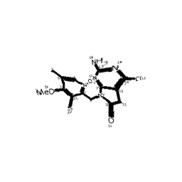 COc1c(C)c[n+]([O-])c(CN2C(=O)Cc3c(Cl)nc(N)nc32)c1C